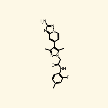 Cc1ccc(NC(=O)Cn2nc(C)c(-c3ccn4nc(N)nc4c3)c2C)c(F)c1